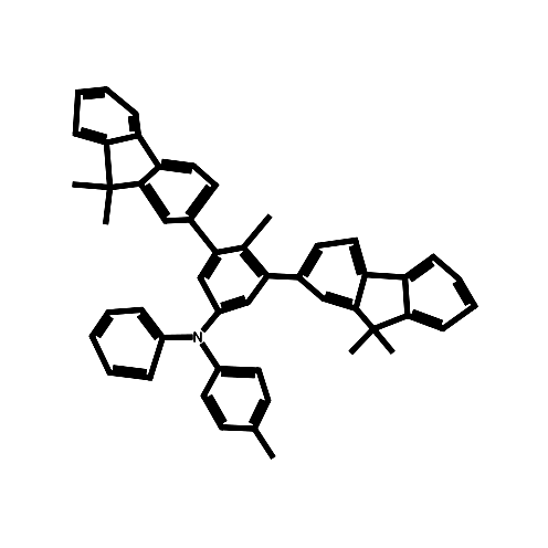 Cc1ccc(N(c2ccccc2)c2cc(-c3ccc4c(c3)C(C)(C)c3ccccc3-4)c(C)c(-c3ccc4c(c3)C(C)(C)c3ccccc3-4)c2)cc1